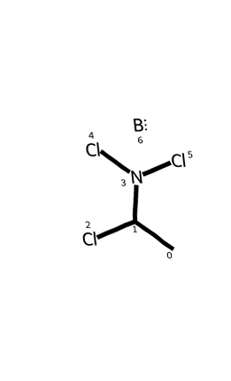 CC(Cl)N(Cl)Cl.[B]